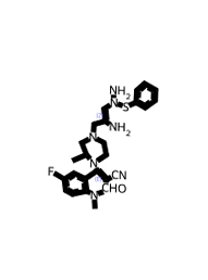 CC1CN(C/C(N)=C/N(N)Sc2ccccc2)CCN1/C(=C(\C#N)C=O)c1cc(F)ccc1N(C)C